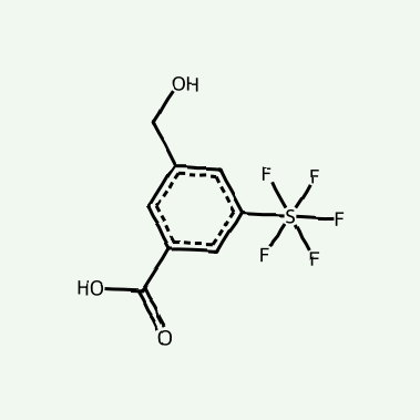 O=C(O)c1cc(CO)cc(S(F)(F)(F)(F)F)c1